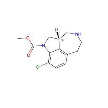 COC(=O)N1C[C@@H]2CNCCc3ccc(Cl)c1c32